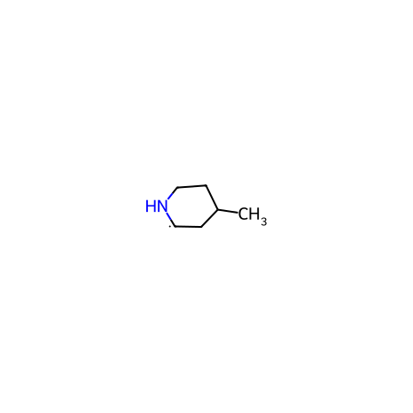 CC1C[CH]NCC1